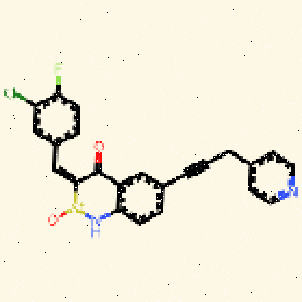 O=C1/C(=C\c2ccc(F)c(Cl)c2)[S+]([O-])Nc2ccc(C#CCc3ccncc3)cc21